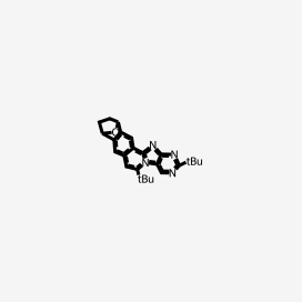 CC(C)(C)c1ncc2c(n1)nc1c3cc4c(cc3cc(C(C)(C)C)n21)C1CCC4O1